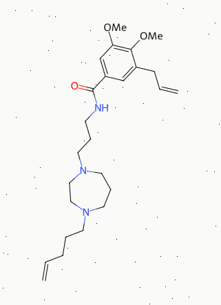 C=CCCCN1CCCN(CCCNC(=O)c2cc(CC=C)c(OC)c(OC)c2)CC1